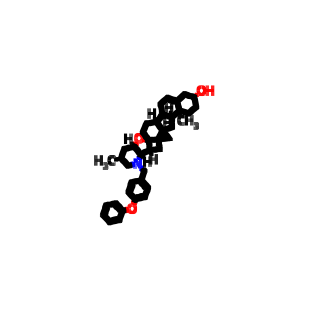 C[C@H]1C[C@H]2OC34CC[C@H]5[C@@H]6CC=C7C[C@@H](O)CC[C@]7(C)[C@H]6CC56CC63C[C@@H]4[C@@H]2N(Cc2ccc(Oc3ccccc3)cc2)C1